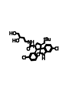 CC(C)(C)C[C@@H]1CN(C(=O)NCC[C@H](O)CO)[C@H](c2cccc(Cl)c2)[C@]12C(=O)Nc1cc(Cl)ccc12